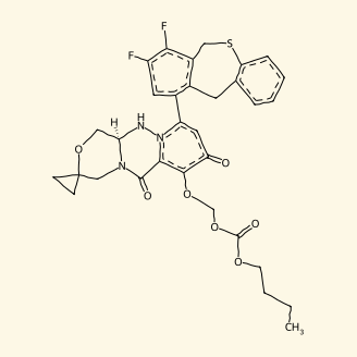 CCCCOC(=O)OCOc1c2n(c(-c3cc(F)c(F)c4c3Cc3ccccc3SC4)cc1=O)N[C@@H]1COC3(CC3)CN1C2=O